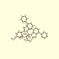 CC1=Cc2c(-c3ccccc3)cccc2[CH]1[Zr]([Cl])([Cl])([CH]1C(c2ccc(C)cc2)=Cc2c(-c3ccccc3)cccc21)=[Si](C)C